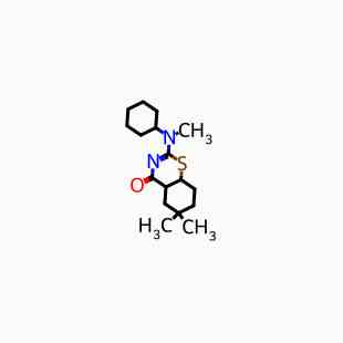 CN(C1=NC(=O)C2CC(C)(C)CCC2S1)C1CCCCC1